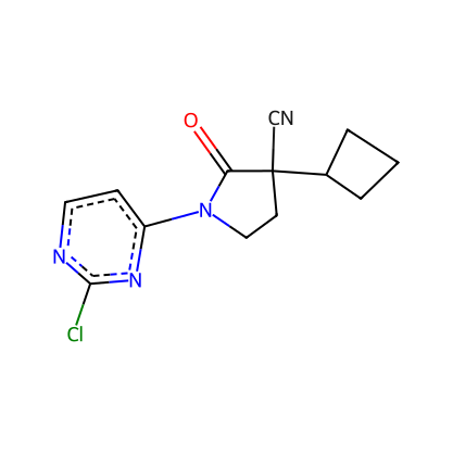 N#CC1(C2CCC2)CCN(c2ccnc(Cl)n2)C1=O